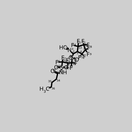 C#[N+]C(C1C(F)(F)C(F)(F)C(F)(F)C1(F)F)S(=O)(=O)C(F)(F)C(F)(F)C(F)(F)S(=O)(=O)NC(=O)CCCC